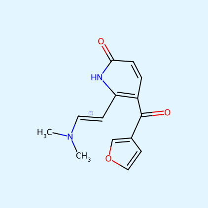 CN(C)/C=C/c1[nH]c(=O)ccc1C(=O)c1ccoc1